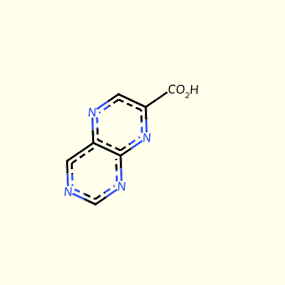 O=C(O)c1cnc2cncnc2n1